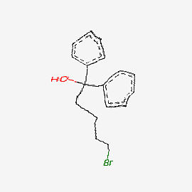 OC(CCCCBr)(c1ccccc1)c1ccccc1